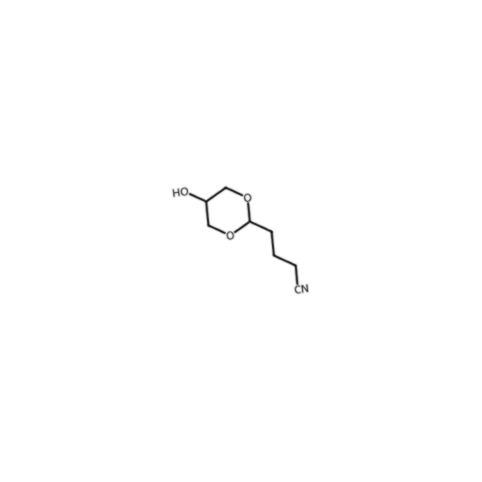 N#CCCCC1OCC(O)CO1